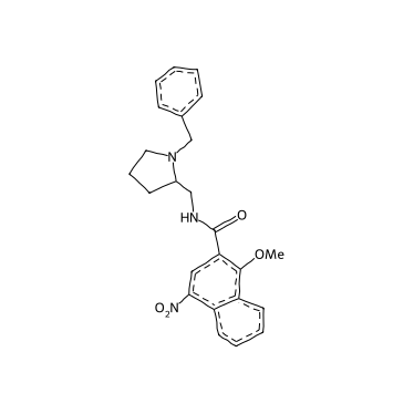 COc1c(C(=O)NCC2CCCN2Cc2ccccc2)cc([N+](=O)[O-])c2ccccc12